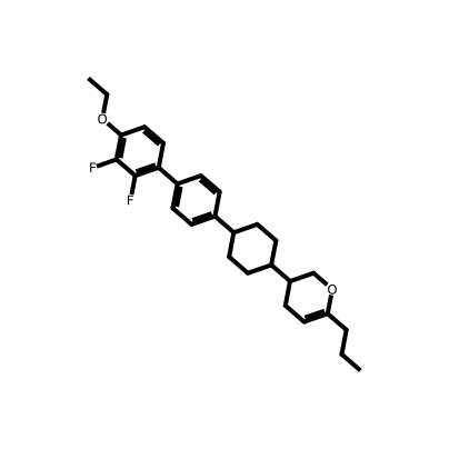 CCCC1=CCC(C2CCC(c3ccc(-c4ccc(OCC)c(F)c4F)cc3)CC2)CO1